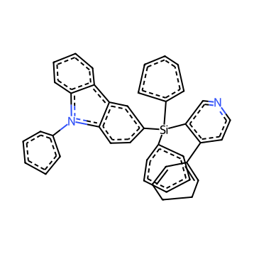 C1=CC(c2ccncc2[Si](c2ccccc2)(c2ccccc2)c2ccc3c(c2)c2ccccc2n3-c2ccccc2)=CCC1